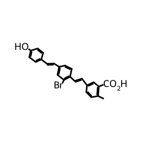 Cc1ccc(/C=C/c2ccc(/C=C/c3ccc(O)cc3)cc2Br)cc1C(=O)O